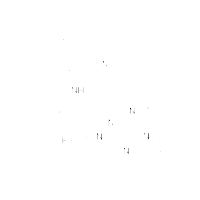 O=C(NCC1(c2cccnc2)CCCCC1)c1cn(-c2nccn3ccnc23)nc1C(F)(F)F